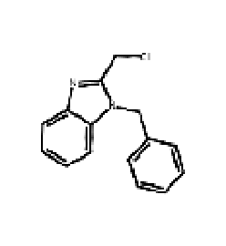 ClCc1nc2ccccc2n1Cc1ccccc1